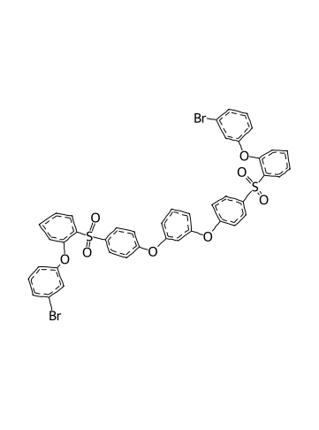 O=S(=O)(c1ccc(Oc2cccc(Oc3ccc(S(=O)(=O)c4ccccc4Oc4cccc(Br)c4)cc3)c2)cc1)c1ccccc1Oc1cccc(Br)c1